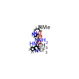 CN[C@@H]1CCn2ncc(S(N)(=O)=NC(=O)Nc3c(C)c(C(F)(F)F)nc4c3CCC4)c2OC1